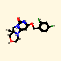 O=c1nc(OCc2ccc(F)cc2F)cc2n1C[C@H]1COCCN21